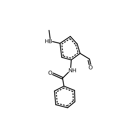 CBc1ccc(C=O)c(NC(=O)c2ccccc2)c1